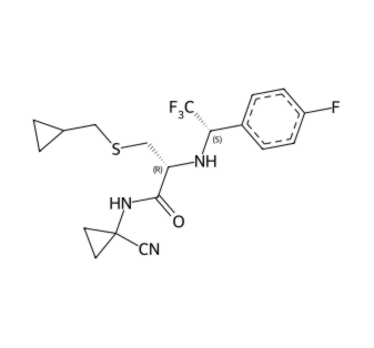 N#CC1(NC(=O)[C@H](CSCC2CC2)N[C@@H](c2ccc(F)cc2)C(F)(F)F)CC1